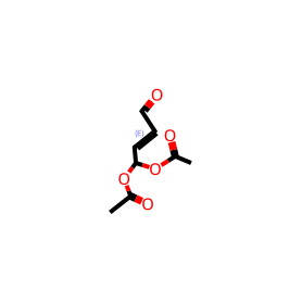 CC(=O)OC(/C=C/C=O)OC(C)=O